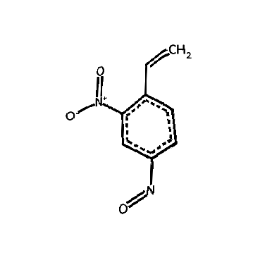 C=Cc1ccc(N=O)cc1[N+](=O)[O-]